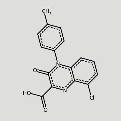 Cc1ccc(-n2c(=O)c(C(=O)O)nc3c(Cl)cccc32)cc1